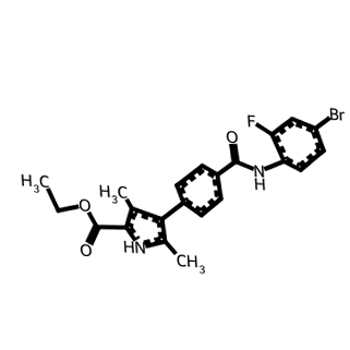 CCOC(=O)c1[nH]c(C)c(-c2ccc(C(=O)Nc3ccc(Br)cc3F)cc2)c1C